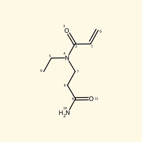 C=CC(=O)N(CC)CCC(N)=O